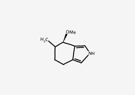 CO[C@H]1c2c[nH]cc2CCC1C